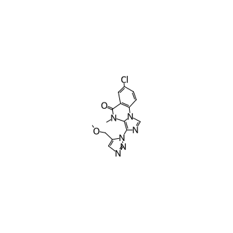 COCc1cnnn1-c1ncn2c3ccc(Cl)cc3c(=O)n(C)c12